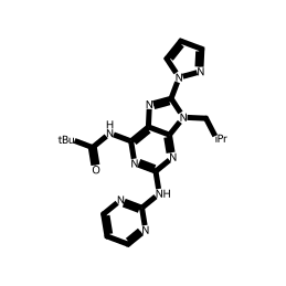 CC(C)Cn1c(-n2cccn2)nc2c(NC(=O)C(C)(C)C)nc(Nc3ncccn3)nc21